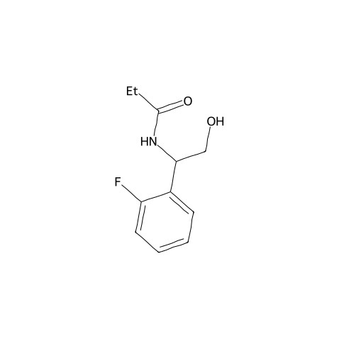 CCC(=O)NC(CO)c1ccccc1F